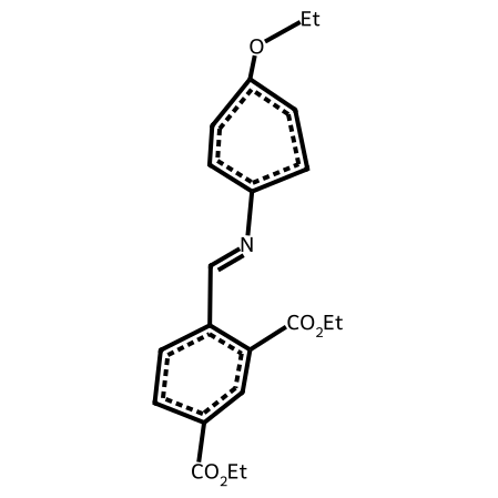 CCOC(=O)c1ccc(/C=N/c2ccc(OCC)cc2)c(C(=O)OCC)c1